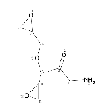 NCC(=O)C(OCC1CO1)C1CO1